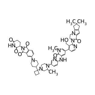 C[C@H]1CN(C2(C3CCN(c4ccc5c(c4)C(=O)N(C4CCC(=O)NC4=O)C5=O)CC3)CCC2)CCN1c1ccc(Nc2cc(-c3ccnc(N4CCn5c(cc6c5CC(C)(C)C6)C4=O)c3CO)cn(C)c2=O)nc1